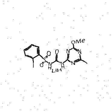 COc1nc(C)nc(NC(=O)NS(=O)(=O)c2ccccc2I)n1.[LiH]